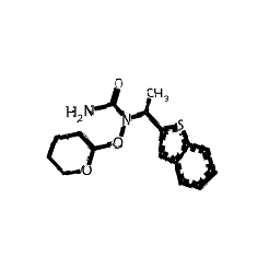 CC(c1cc2ccccc2s1)N(OC1CCCCO1)C(N)=O